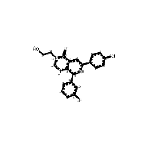 O=c1c2cc(-c3ccc(Cl)cc3)nc(-c3cccc(F)c3)c2ncn1CCO